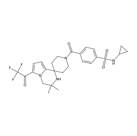 CC1(C)Cn2c(C(=O)C(F)(F)F)ccc2C2(CCN(C(=O)c3ccc(S(=O)(=O)NC4CC4)cc3)CC2)N1